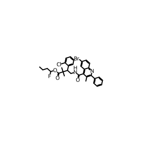 CCCC(F)OC(=O)C(C)(C)C(CNC(=O)c1c(C)c(-c2ccccc2)nc2ccc(Br)cc12)c1ccccc1Cl